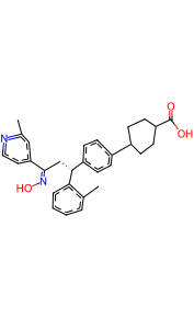 Cc1cc(/C(C[C@H](c2ccc(C3CCC(C(=O)O)CC3)cc2)c2ccccc2C)=N\O)ccn1